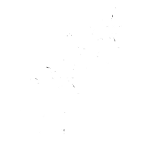 C[C@H](c1cccc(S(N)(=O)=O)c1)N1C(=O)[C@@H]2C[C@H]1CN2C[C@H](N)C(=O)N1[C@H](C#N)C[C@@H]2C[C@@H]21